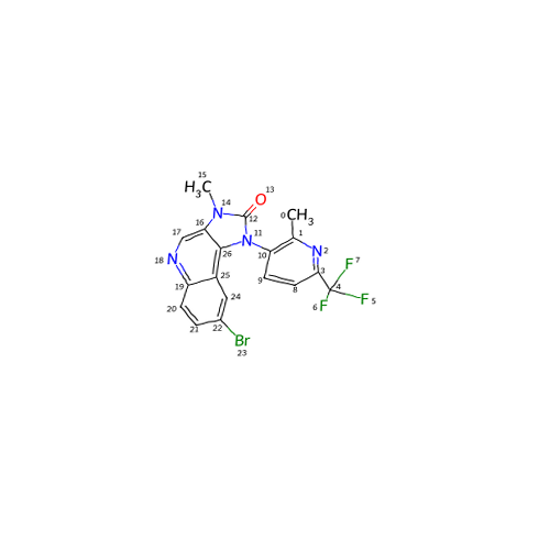 Cc1nc(C(F)(F)F)ccc1-n1c(=O)n(C)c2cnc3ccc(Br)cc3c21